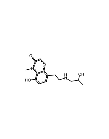 CC(O)CNCCc1ccc(O)c2c1ccc(=O)n2C